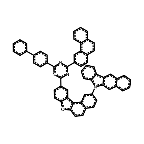 c1ccc(-c2ccc(-c3nc(-c4ccc5ccc6ccccc6c5c4)nc(-c4ccc5oc6ccc7ccc(-n8c9ccccc9c9cc%10ccccc%10cc98)cc7c6c5c4)n3)cc2)cc1